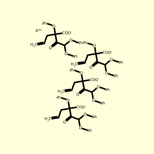 C=CCC(OC(C)C)(C(=O)[O-])C(=O)C(OC(C)C)OC(C)C.C=CCC(OC(C)C)(C(=O)[O-])C(=O)C(OC(C)C)OC(C)C.C=CCC(OC(C)C)(C(=O)[O-])C(=O)C(OC(C)C)OC(C)C.C=CCC(OC(C)C)(C(=O)[O-])C(=O)C(OC(C)C)OC(C)C.[Zr+4]